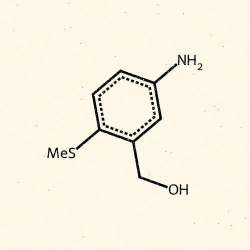 CSc1ccc(N)cc1CO